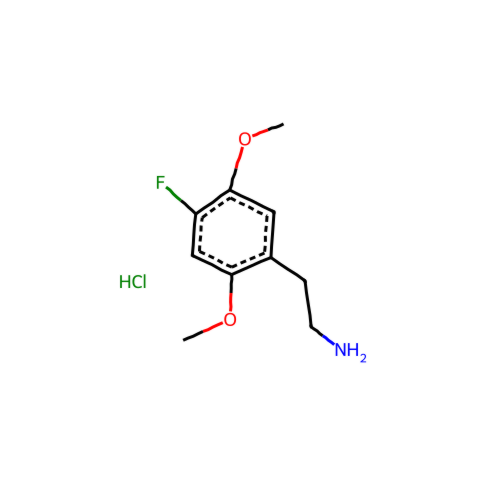 COc1cc(CCN)c(OC)cc1F.Cl